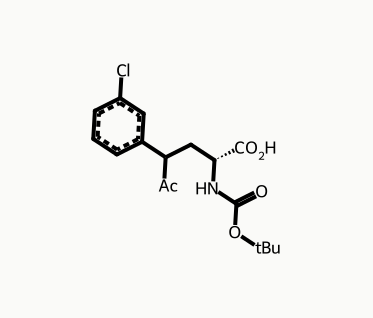 CC(=O)C(C[C@@H](NC(=O)OC(C)(C)C)C(=O)O)c1cccc(Cl)c1